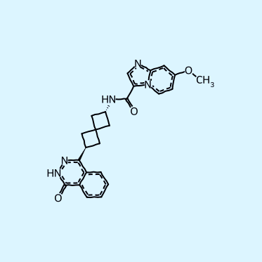 COc1ccn2c(C(=O)N[C@H]3CC4(C3)C[C@H](c3n[nH]c(=O)c5ccccc53)C4)cnc2c1